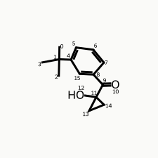 CC(C)(C)c1cccc(C(=O)C2(O)CC2)c1